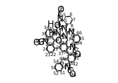 CC1(N=C=O)C=CC=CC1n1c(=O)[nH]c(=O)n(Cc2cc(-c3cccc(N=C=O)c3Cc3ccccc3)cc(-c3cccc(N=C=O)c3Cc3ccccc3)c2N=C=O)c1=Nc1ccccc1